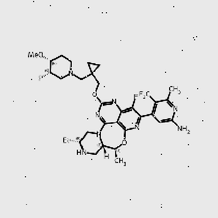 CC[C@@H]1CN2c3nc(OCC4(CN5CC[C@@H](OC)[C@@H](F)C5)CC4)nc4c(F)c(-c5cc(N)nc(C)c5C(F)(F)F)nc(c34)O[C@@H](C)[C@@H]2CN1